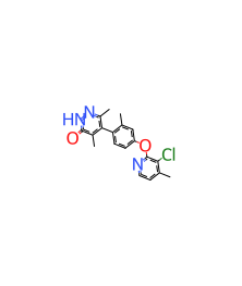 Cc1cc(Oc2nccc(C)c2Cl)ccc1-c1c(C)n[nH]c(=O)c1C